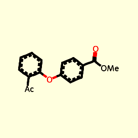 COC(=O)c1ccc(Oc2ccccc2C(C)=O)cc1